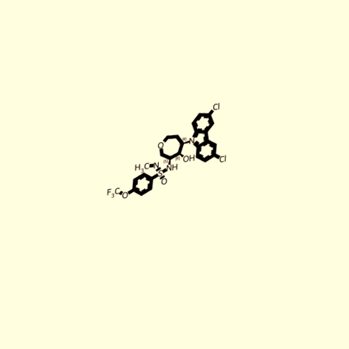 CN=S(=O)(N[C@H]1COCC[C@@H](n2c3ccc(Cl)cc3c3cc(Cl)ccc32)[C@H]1O)c1ccc(OC(F)(F)F)cc1